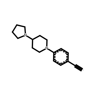 [C]#Cc1ccc(N2CCC(N3CCCC3)CC2)cc1